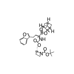 CC(C)(C)OC(=O)N1CC[C@@H]1COC(=O)N[C@@H](CCc1coc2ccccc12)B1O[C@@H]2C[C@@H]3C[C@@H](C3(C)C)[C@]2(C)O1